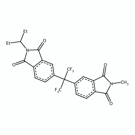 CCC(CC)N1C(=O)c2ccc(C(c3ccc4c(c3)C(=O)N(C)C4=O)(C(F)(F)F)C(F)(F)F)cc2C1=O